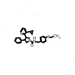 CCSc1ccc(CNC(=O)N2CC(c3ccccc3)C(c3ncccc3C3CC3)C2)cc1